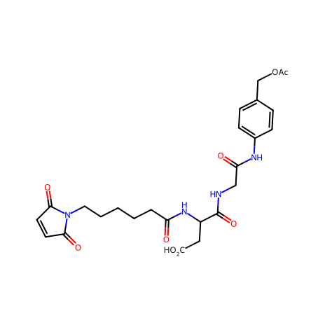 CC(=O)OCc1ccc(NC(=O)CNC(=O)C(CC(=O)O)NC(=O)CCCCCN2C(=O)C=CC2=O)cc1